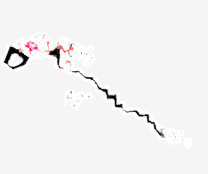 CCCCCCCCCCCCCCCCCCOCC(COP(=O)([O-])Oc1ccccc1)OC.[Ag+]